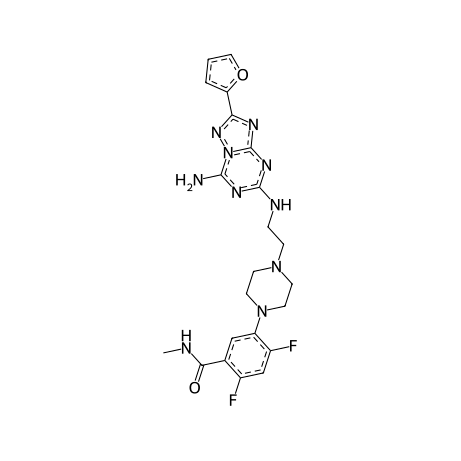 CNC(=O)c1cc(N2CCN(CCNc3nc(N)n4nc(-c5ccco5)nc4n3)CC2)c(F)cc1F